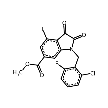 COC(=O)c1cc(I)c2c(c1)N(Cc1c(F)cccc1Cl)C(=O)C2=O